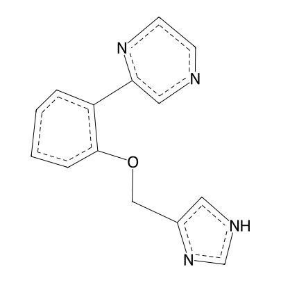 c1ccc(-c2cnccn2)c(OCc2c[nH]cn2)c1